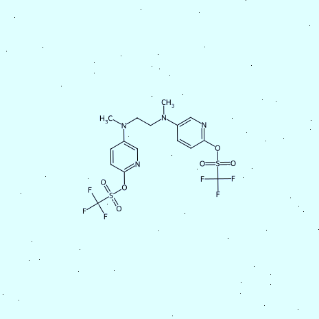 CN(CCN(C)c1ccc(OS(=O)(=O)C(F)(F)F)nc1)c1ccc(OS(=O)(=O)C(F)(F)F)nc1